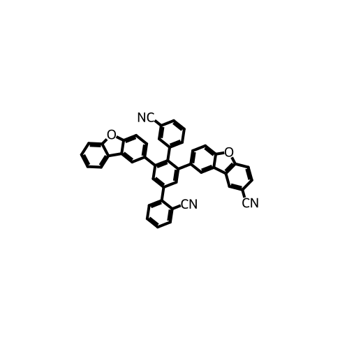 N#Cc1cccc(-c2c(-c3ccc4oc5ccccc5c4c3)cc(-c3ccccc3C#N)cc2-c2ccc3oc4ccc(C#N)cc4c3c2)c1